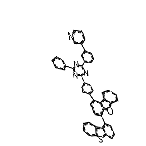 c1ccc(-c2nc(-c3ccc(-c4ccc(-c5cccc6sc7ccccc7c56)c5oc6ccccc6c45)cc3)nc(-c3cccc(-c4cccnc4)c3)n2)cc1